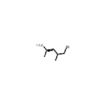 CC(=CC(C)CC#N)C(=O)O